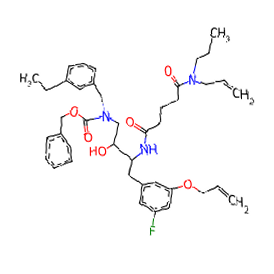 C=CCOc1cc(F)cc(CC(NC(=O)CCCC(=O)N(CC=C)CCC)C(O)CN(Cc2cccc(CC)c2)C(=O)OCc2ccccc2)c1